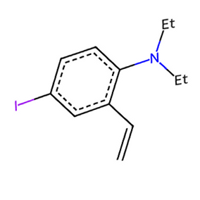 C=Cc1cc(I)ccc1N(CC)CC